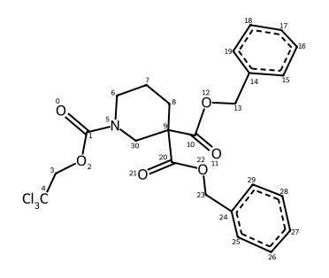 O=C(OCC(Cl)(Cl)Cl)N1CCCC(C(=O)OCc2ccccc2)(C(=O)OCc2ccccc2)C1